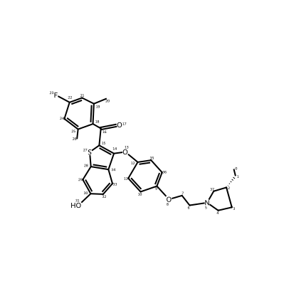 CC[C@@H]1CCN(CCOc2ccc(Oc3c(C(=O)c4c(C)cc(F)cc4C)sc4cc(O)ccc34)cc2)C1